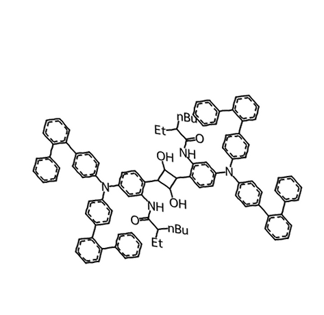 CCCCC(CC)C(=O)Nc1cc(N(c2ccc(-c3ccccc3-c3ccccc3)cc2)c2ccc(-c3ccccc3-c3ccccc3)cc2)ccc1C1C(O)C(c2ccc(N(c3ccc(-c4ccccc4-c4ccccc4)cc3)c3ccc(-c4ccccc4-c4ccccc4)cc3)cc2NC(=O)C(CC)CCCC)C1O